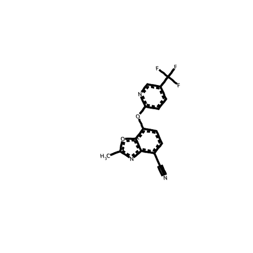 Cc1nc2c(C#N)ccc(Oc3ccc(C(F)(F)F)cn3)c2o1